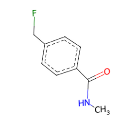 CNC(=O)c1ccc(CF)cc1